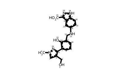 Cn1cc(CO)c(-c2cccc(CNc3ccc4[nH]nc(C(=O)O)c4c3)c2O)n1